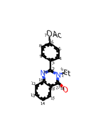 CCn1c(-c2ccc(OC(C)=O)cc2)nc2ccccc2c1=O